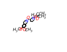 COc1cc2c(cc1OC)CN(C(=O)[C@@H]1CCCN(OC(=O)C(C)(C)C)C1)CC2